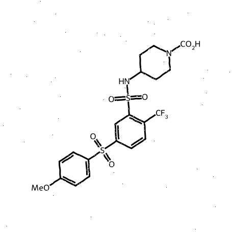 COc1ccc(S(=O)(=O)c2ccc(C(F)(F)F)c(S(=O)(=O)NC3CCN(C(=O)O)CC3)c2)cc1